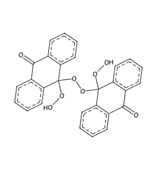 O=C1c2ccccc2C(OO)(OOC2(OO)c3ccccc3C(=O)c3ccccc32)c2ccccc21